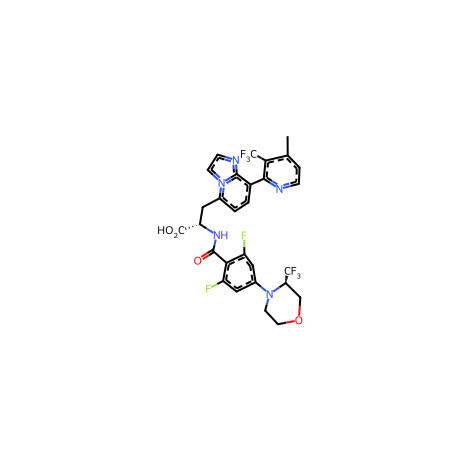 Cc1ccnc(-c2ccc(C[C@H](NC(=O)c3c(F)cc(N4CCOC[C@@H]4C(F)(F)F)cc3F)C(=O)O)n3ccnc23)c1C(F)(F)F